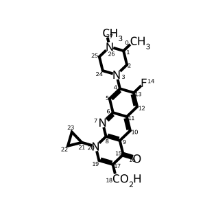 CC1CN(c2cc3nc4c(cc3cc2F)c(=O)c(C(=O)O)cn4C2CC2)CCN1C